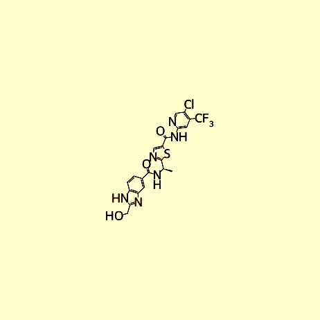 C[C@@H](NC(=O)c1ccc2[nH]c(CO)nc2c1)c1ncc(C(=O)Nc2cc(C(F)(F)F)c(Cl)cn2)s1